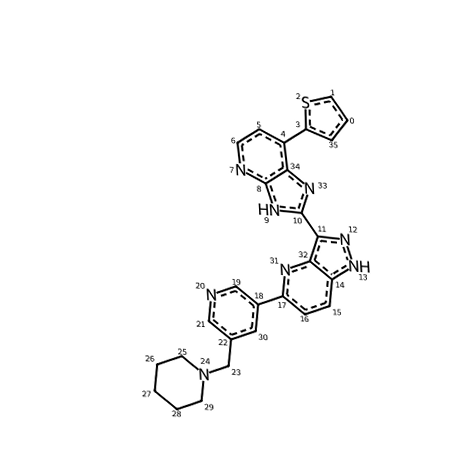 c1csc(-c2ccnc3[nH]c(-c4n[nH]c5ccc(-c6cncc(CN7CCCCC7)c6)nc45)nc23)c1